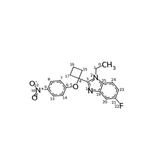 CCn1c(C2(Oc3ccc([N+](=O)[O-])cc3)CCC2)nc2cc(F)ccc21